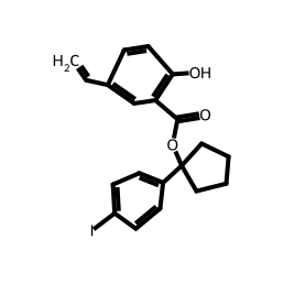 C=Cc1ccc(O)c(C(=O)OC2(c3ccc(I)cc3)CCCC2)c1